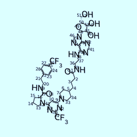 O=C(CCCC1CCN(c2cc(N3CCC[C@H]3C(=O)NCCc3ccc(C(F)(F)F)cc3)nc(C(F)(F)F)n2)CC1)NCCNc1ncnc2c1ncn2[C@@H]1O[C@H](CO)C(O)C1O